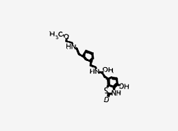 COCCNCCc1cccc(CCNC(O)Cc2ccc(O)c3[nH]c(=O)sc23)c1